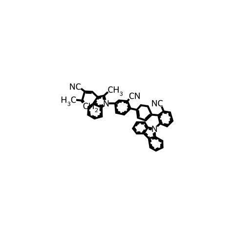 C=C(C)/C(C#N)=C\c1c(C)n(-c2ccc(C3=CC=C(c4c(C#N)cccc4-n4c5ccccc5c5ccccc54)CC3)c(C#N)c2)c2ccccc12